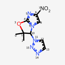 CC1(C)Oc2nc([N+](=O)[O-])cn2C1n1ccnn1